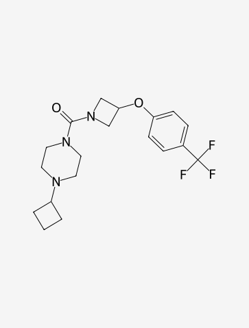 O=C(N1CCN(C2CCC2)CC1)N1CC(Oc2ccc(C(F)(F)F)cc2)C1